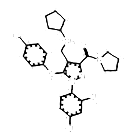 O=C(c1nn(-c2ccc(Cl)cc2Cl)c(Oc2ccc(Cl)cc2)c1CNC1CCCC1)N1CCCC1